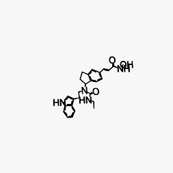 CCNC(=O)N(CCc1c[nH]c2ccccc12)C1CCc2cc(/C=C/C(=O)NO)ccc21